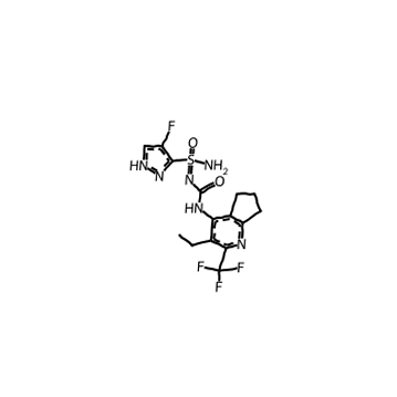 CCc1c(C(F)(F)F)nc2c(c1NC(=O)N=S(N)(=O)c1n[nH]cc1F)CCC2